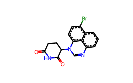 O=C1CCC(N2C=Nc3cccc4c(Br)ccc2c34)C(=O)N1